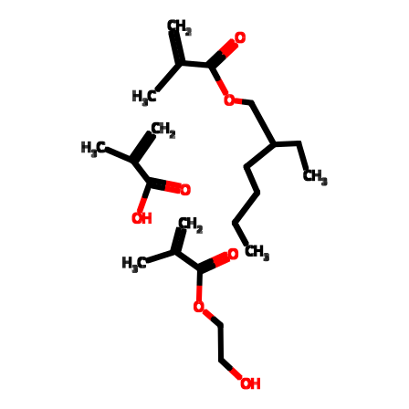 C=C(C)C(=O)O.C=C(C)C(=O)OCC(CC)CCCC.C=C(C)C(=O)OCCO